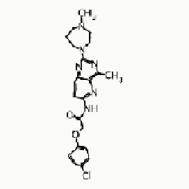 Cc1nc(N2CCCN(C)CC2)nc2ccc(NC(=O)COc3ccc(Cl)cc3)nc12